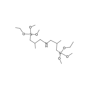 CCO[Si](CC(C)CNCC(C)C[Si](OC)(OC)OCC)(OC)OC